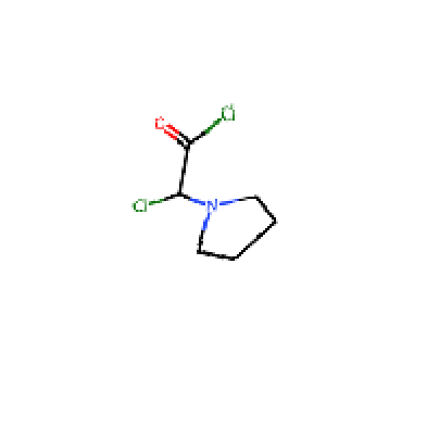 O=C(Cl)C(Cl)N1CCCC1